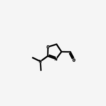 CN(C)C1=NC(C=O)CO1